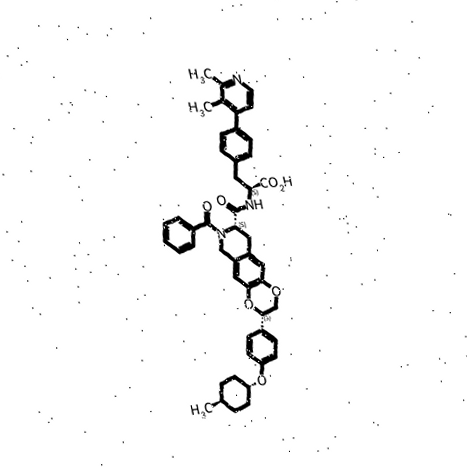 Cc1nccc(-c2ccc(C[C@H](NC(=O)[C@@H]3Cc4cc5c(cc4CN3C(=O)c3ccccc3)O[C@@H](c3ccc(O[C@H]4CC[C@H](C)CC4)cc3)CO5)C(=O)O)cc2)c1C